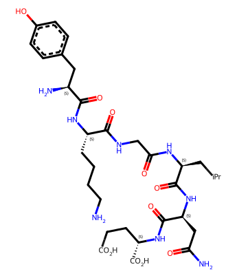 CC(C)C[C@H](NC(=O)CNC(=O)[C@H](CCCCN)NC(=O)[C@@H](N)Cc1ccc(O)cc1)C(=O)N[C@@H](CC(N)=O)C(=O)N[C@@H](CCC(=O)O)C(=O)O